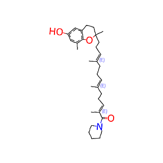 C/C(=C\CC/C(C)=C/CCC1(C)CCc2cc(O)cc(C)c2O1)CC/C=C(\C)C(=O)N1CCCCC1